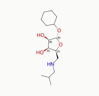 CC(C)CNC[C@@H]1O[C@@H](OC2CCCCC2)[C@H](O)[C@@H]1O